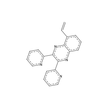 C=Cc1cccc2nc(-c3ccccn3)c(-c3ccccn3)nc12